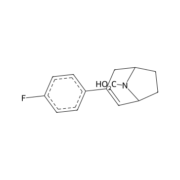 O=C(O)N1C2C=C(c3ccc(F)cc3)CC1CC2